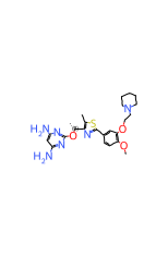 COc1ccc(-c2nc([C@@H](C)Oc3nc(N)cc(N)n3)c(C)s2)cc1OCCN1CCCCC1